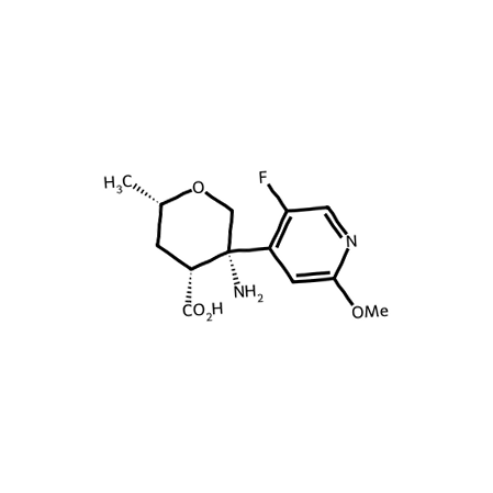 COc1cc([C@]2(N)CO[C@@H](C)C[C@H]2C(=O)O)c(F)cn1